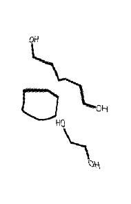 C1CCCCC1.OCCCCCO.OCCO